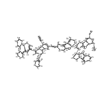 N#Cc1nc(C#N)c2oc3c(-c4cccc5c4oc4ccccc45)cc(-c4cccc5c4oc4ccc([N+]#Cc6nc(C#N)c7oc8c(-c9ccc%10c%11ccccc%11c%11ccccc%11c%10c9)cc(-c9ccccc9)cc8c7n6)cc45)cc3c2n1